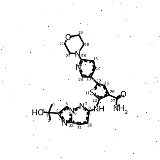 CC(C)(O)c1cn2nc(Nc3sc(-c4ccc(N5CCOCC5)nc4)cc3C(N)=O)ccc2n1